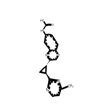 Cc1ccnc([C@H]2C[C@@H]2c2cnc3ccc(NC(=O)O)cc3n2)n1